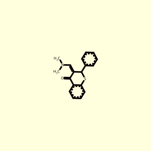 CN(C)C=C1C(=O)c2ccccc2SC1c1ccccc1